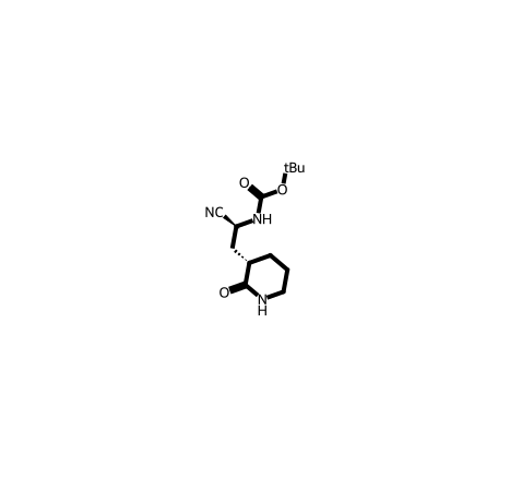 CC(C)(C)OC(=O)N[C@H](C#N)C[C@@H]1CCCNC1=O